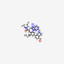 Bc1cc(-c2ccc(C=O)c(/C=C\N(C)Cc3ncccn3)c2)cc2c1C=C(C(=O)N(CCC)CCC)CC(N)=N2